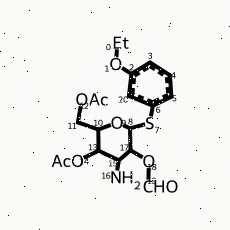 CCOc1cccc(SC2OC(COC(C)=O)C(OC(C)=O)C(N)C2OC=O)c1